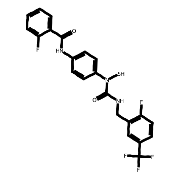 O=C(Nc1ccc(N(S)C(=O)NCc2cc(C(F)(F)F)ccc2F)cc1)c1ccccc1F